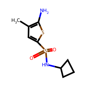 Cc1cc(S(=O)(=O)NC2CCC2)sc1N